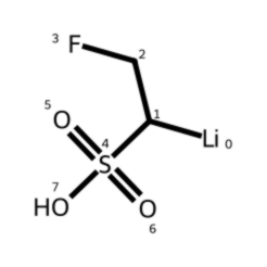 [Li][CH](CF)S(=O)(=O)O